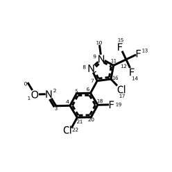 CON=Cc1cc(-c2nn(C)c(C(F)(F)F)c2Cl)c(F)cc1Cl